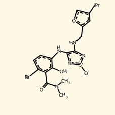 CC(C)c1coc(CNc2n[s+]([O-])nc2Nc2ccc(Br)c(C(=O)N(C)C)c2O)c1